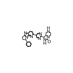 O=C1NC(c2ncc(-c3ccc4nc5n(c4n3)C(c3ccccc3)CC5)cn2)C2CNCCN12